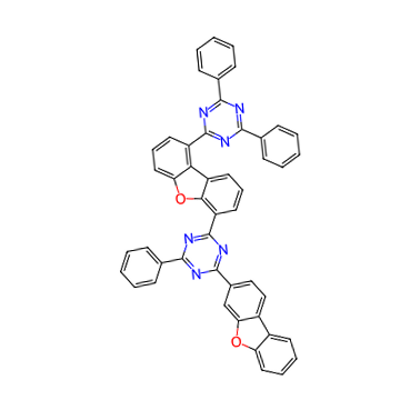 c1ccc(-c2nc(-c3ccc4c(c3)oc3ccccc34)nc(-c3cccc4c3oc3cccc(-c5nc(-c6ccccc6)nc(-c6ccccc6)n5)c34)n2)cc1